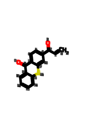 C=CC(=O)c1ccc2c(=O)c3ccccc3sc2c1